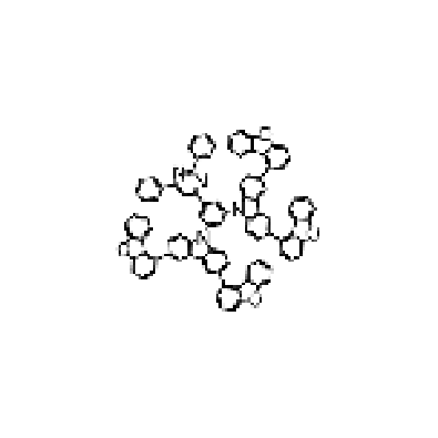 c1ccc(-c2cc(-c3cc(-n4c5ccc(-c6cccc7oc8ccccc8c67)cc5c5cc(-c6cccc7oc8ccccc8c67)ccc54)cc(-n4c5ccc(-c6cccc7oc8ccccc8c67)cc5c5cc(-c6cccc7oc8ccccc8c67)ccc54)c3)nc(-c3ccccc3)n2)cc1